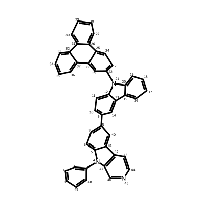 c1ccc(-n2c3ccc(-c4ccc5c(c4)c4ccccc4n5-c4ccc5c6ccccc6c6ccccc6c5c4)cc3c3ccncc32)cc1